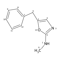 CNc1ncc(Cc2ccccc2)o1